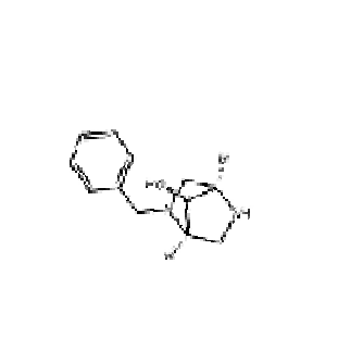 OC1[C@H]2CN[C@@H]1CN2Cc1ccccc1